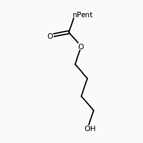 CCCCCC(=O)OCCCCO